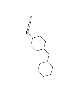 S=C=NC1CCC(CC2CCCCC2)CC1